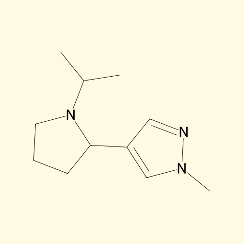 CC(C)N1CCCC1c1cnn(C)c1